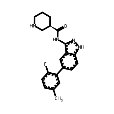 Cc1ccc(F)c(-c2ccc3[nH]nc(NC(=O)[C@@H]4CCCNC4)c3c2)c1